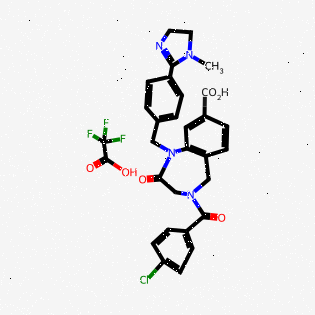 CN1CCN=C1c1ccc(CN2C(=O)CN(C(=O)c3ccc(Cl)cc3)Cc3ccc(C(=O)O)cc32)cc1.O=C(O)C(F)(F)F